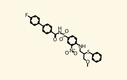 COCC(CNc1ccc(S(=O)(=O)NC(=O)c2ccc(-c3ccc(F)cc3)cc2)cc1[N+](=O)[O-])Sc1ccccc1